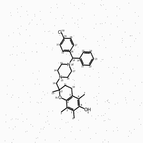 Cc1c(C)c2c(c(C)c1O)CCC(C)(CN1CCN(C(c3ccccc3)c3ccc(Cl)cc3)CC1)O2